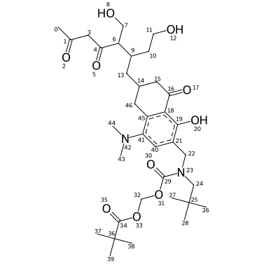 CC(=O)CC(=O)C(CO)C(CCO)CC1CC(=O)c2c(O)c(CN(CC(C)(C)C)C(=O)OCOC(=O)C(C)(C)C)cc(N(C)C)c2C1